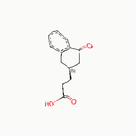 O=C(O)CC[C@@H]1CC(=O)c2ccccc2C1